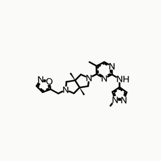 Cc1cnc(Nc2cnn(C)c2)nc1N1C[C@]2(C)CN(Cc3ccno3)C[C@]2(C)C1